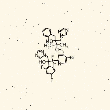 CC(C)(C)C(O)(Cc1ccccc1Cl)Cn1cncn1.OC(Cn1cncn1)(c1ccc(F)cc1F)C(F)(F)c1ccc(Br)cn1